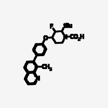 Cc1c(-c2ccc(OC3CCN(C(=O)O)C(C(C)(C)C)C3F)cc2)ccc2cccnc12